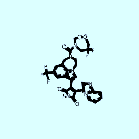 O=C1NC(=O)C(c2cnc3ccccn23)=C1c1cn2c3c(cc(C(F)(F)F)cc13)CN(C(=O)N1CCOCC(F)(F)C1)CC2